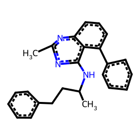 Cc1nc(NC(C)CCc2ccccc2)c2c(-c3ccccc3)cccc2n1